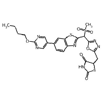 CCCCOc1ncc(-c2ccc3nc(C(c4nnc(CC5SC(=O)NC5=O)o4)S(C)(=O)=O)sc3c2)cn1